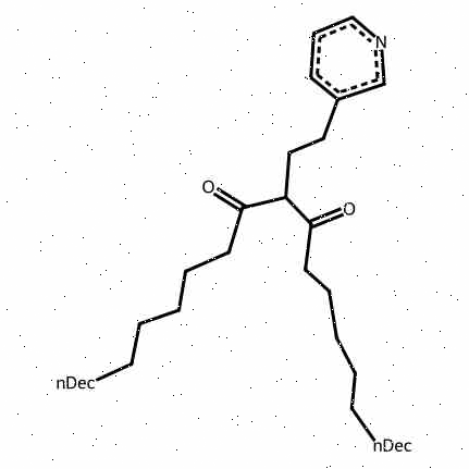 CCCCCCCCCCCCCCCC(=O)C(CCc1[c]ccnc1)C(=O)CCCCCCCCCCCCCCC